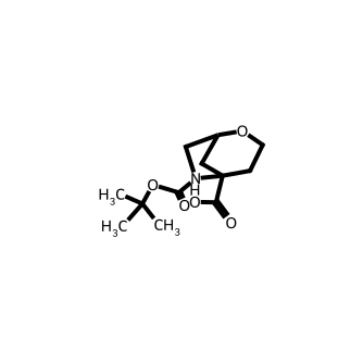 CC(C)(C)OC(=O)N1CC2CC1(C(=O)O)CCO2